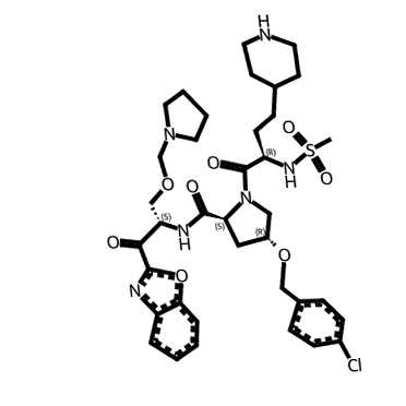 CS(=O)(=O)N[C@H](CCC1CCNCC1)C(=O)N1C[C@H](OCc2ccc(Cl)cc2)C[C@H]1C(=O)N[C@@H](COCN1CCCC1)C(=O)c1nc2ccccc2o1